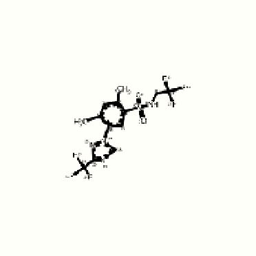 Cc1cc(C)c(S(=O)(=O)NCC(F)(F)F)cc1-n1cnc(C(F)(F)F)n1